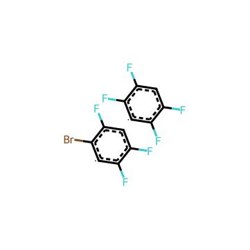 Fc1[c]c(Br)c(F)cc1F.Fc1[c]c(F)c(F)cc1F